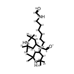 CC1(C)CC([N+](C=O)(CCCCCCNC=O)C2CC(C)(C)NC(C)(C)C2)CC(C)(C)N1